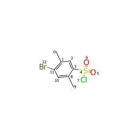 Cc1cc(S(=O)(=O)Cl)c(C)cc1Br